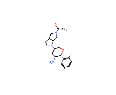 N[C@H]1C[C@@H](N2CCC3CN(C(=O)C(F)(F)F)CC32)CO[C@@H]1c1cc(F)ccc1F